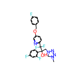 CN1CN(CC(O)(c2ccc(F)cc2F)C(F)(F)c2ccc(OCc3ccc(F)cc3)cn2)N=N1